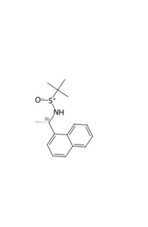 C[C@H](N[S+]([O-])C(C)(C)C)c1cccc2ccccc12